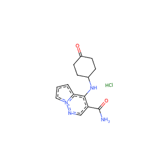 Cl.NC(=O)c1cnn2cccc2c1NC1CCC(=O)CC1